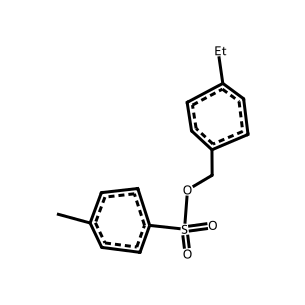 CCc1ccc(COS(=O)(=O)c2ccc(C)cc2)cc1